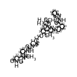 Cc1c(OCCCC2CCN(CC(=O)Nc3cccc4c(C5CCC(=O)NC5=O)nn(C)c34)CC2(F)F)cccc1-c1ccc(N2CCc3cccc(C(=O)Nc4nc5ccccc5s4)c3C2)nc1C(=O)OC(C)(C)C